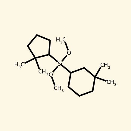 CO[Si](OC)(C1CCCC(C)(C)C1)C1CCCC1(C)C